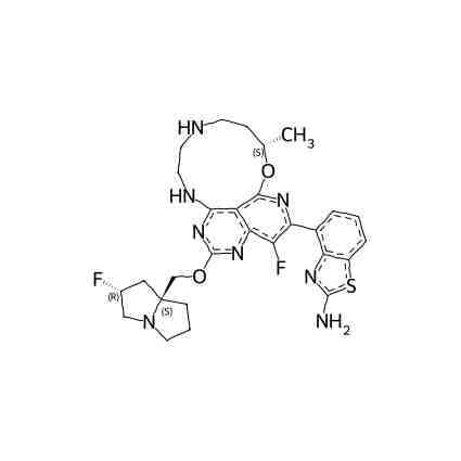 C[C@H]1CCNCCNc2nc(OC[C@@]34CCCN3C[C@H](F)C4)nc3c(F)c(-c4cccc5sc(N)nc45)nc(c23)O1